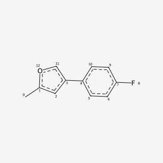 Cc1cc(-c2ccc(F)cc2)co1